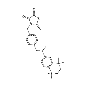 CC(Cc1ccc(CN2C(=O)C(=O)SC2=S)cc1)c1ccc2c(c1)C(C)(C)CCC2(C)C